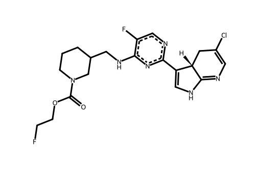 O=C(OCCF)N1CCCC(CNc2nc(C3=CNC4=NC=C(Cl)C[C@@H]34)ncc2F)C1